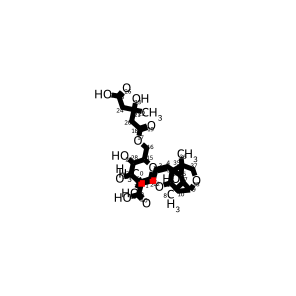 C/C(=C\C=C/C1(O)C(C)C2CC(OC3OC(COC(=O)CC(C)(O)CC(=O)O)C(O)C(O)C3O)CC1(C)CO2)C(=O)O